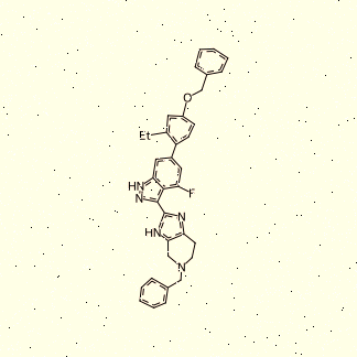 CCc1cc(OCc2ccccc2)ccc1-c1cc(F)c2c(-c3nc4c([nH]3)CN(Cc3ccccc3)CC4)n[nH]c2c1